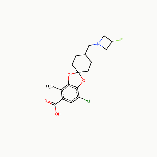 Cc1c(C(=O)O)cc(Cl)c2c1OC1(CCC(CN3CC(F)C3)CC1)O2